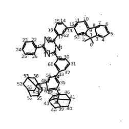 CC1(C)c2ccccc2-c2ccc(-c3cccc(-c4nc(-c5ccccc5)nc(-c5cccc(-c6cc(C78CC9CC(CC(C9)C7)C8)cc(C78CC9CC(CC(C9)C7)C8)c6)c5)n4)c3)cc21